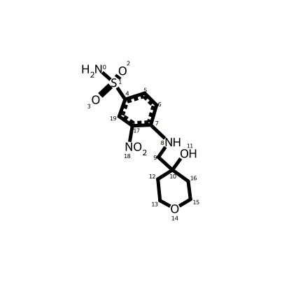 NS(=O)(=O)c1ccc(NCC2(O)CCOCC2)c([N+](=O)[O-])c1